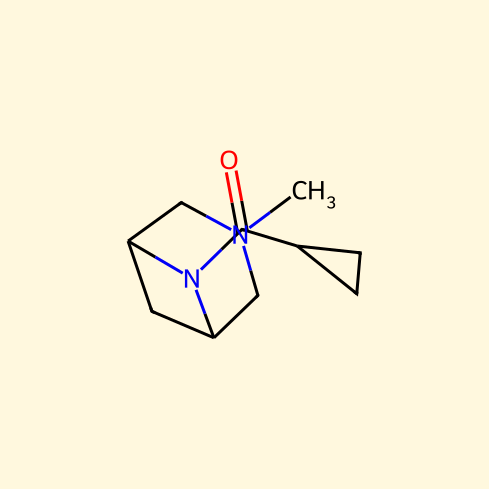 CN1CC2CC(C1)N2C(=O)C1CC1